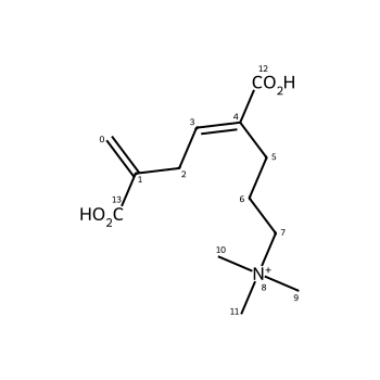 C=C(CC=C(CCC[N+](C)(C)C)C(=O)O)C(=O)O